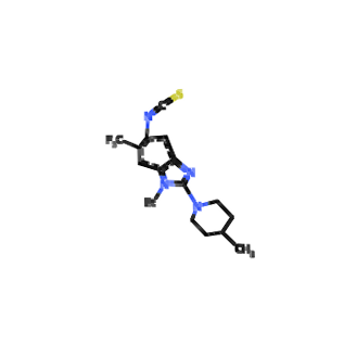 CCn1c(N2CCC(C)CC2)nc2cc(N=C=S)c(C(F)(F)F)cc21